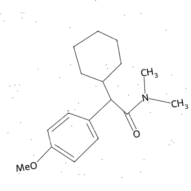 COc1c[c]c(C(C(=O)N(C)C)C2CCCCC2)cc1